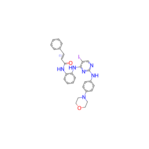 O=C(/C=C/c1ccccc1)Nc1ccccc1Nc1nc(Nc2ccc(N3CCOCC3)cc2)ncc1I